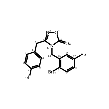 O=c1onc(Cc2ccc(F)cc2)n1Cc1cc(F)ccc1Br